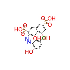 O=S(=O)(O)c1cc(O)c2c(O)c(/N=N\c3cc(Cl)ccc3O)c(S(=O)(=O)O)cc2c1